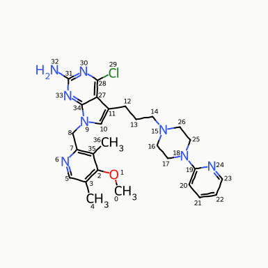 COc1c(C)cnc(Cn2cc(CCCN3CCN(c4ccccn4)CC3)c3c(Cl)nc(N)nc32)c1C